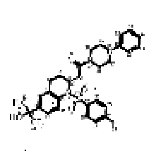 O=C(C[C@@H]1CCc2cc(C(O)(C(F)(F)F)C(F)(F)F)ccc2N1S(=O)(=O)c1ccc(F)cc1)N1CCN(c2ccccc2)CC1